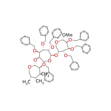 CO[C@H]1OCC(O[C@H]2OC[C@@H](O[C@H]3OC[C@@H](C)[C@@H](C)[C@H](C)[C@@H]3OCc3ccccc3)[C@@H](OCc3ccccc3)[C@H](OCc3ccccc3)[C@@H]2OCc2ccccc2)[C@@H](OCc2ccccc2)[C@H](OCc2ccccc2)[C@@H]1OCc1ccccc1